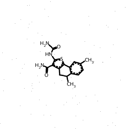 Cc1ccc2c(c1)-c1sc(NC(N)=O)c(C(N)=O)c1CC2C